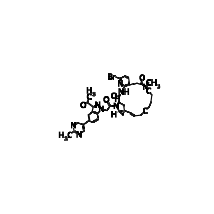 CC(=O)c1nn(CC(=O)N2[C@H]3C[C@@]4(/C=C/CCCCCCN(C)C(=O)Cc5ccc(Br)nc5NC3=O)C[C@@H]24)c2ccc(-c3cnc(C)nc3)cc12